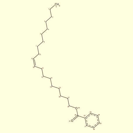 CCCCCCCCC/C=C\CCCCCCCCOC(=O)c1ccccc1